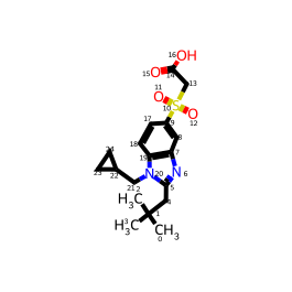 CC(C)(C)Cc1nc2cc(S(=O)(=O)CC(=O)O)ccc2n1CC1CC1